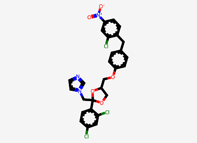 O=[N+]([O-])c1ccc(Cc2ccc(OCC3COC(Cn4ccnc4)(c4ccc(Cl)cc4Cl)O3)cc2)c(Cl)c1